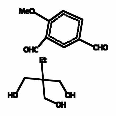 CCC(CO)(CO)CO.COc1ccc(C=O)cc1C=O